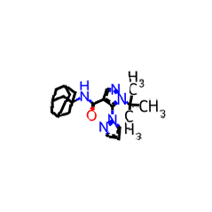 CC(C)(C)n1ncc(C(=O)NC23CC4CC(CC(C4)C2)C3)c1-n1cccn1